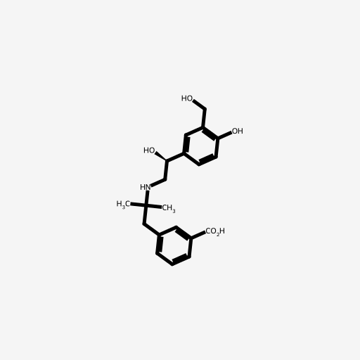 CC(C)(Cc1cccc(C(=O)O)c1)NC[C@@H](O)c1ccc(O)c(CO)c1